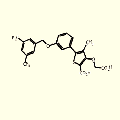 Cc1c(-c2cccc(OCc3cc(C(F)(F)F)cc(C(F)(F)F)c3)c2)sc(C(=O)O)c1OCC(=O)O